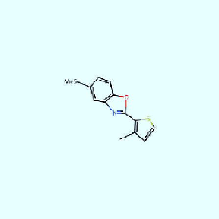 CSc1ccc2oc(-c3sccc3C)nc2c1